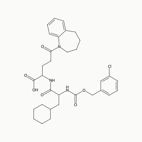 O=C(NC(CC1CCCCC1)C(=O)NC(CCC(=O)N1CCCCc2ccccc21)C(=O)O)OCc1cccc(Cl)c1